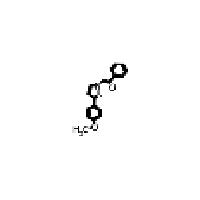 COc1ccc(-c2ccn(CC(=O)c3ccccc3)n2)cc1